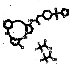 O=C(CC1CCN(S(=O)(=O)c2ccco2)CC1)Nc1ccc2cc1CCc1cncc(c1)Nc1ncc(Cl)c(n1)N2.O=C(O)C(F)(F)F.O=C(O)C(F)(F)F